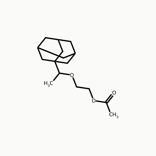 CC(=O)OCCOC(C)C12CC3CC(CC(C3)C1)C2